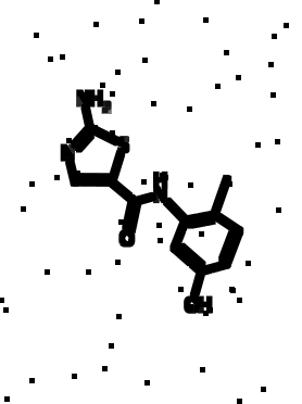 Cc1ccc(O)cc1NC(=O)c1cnc(N)s1